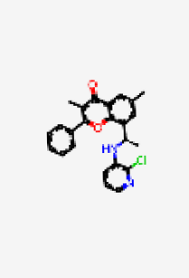 Cc1cc([C@@H](C)Nc2cccnc2Cl)c2oc(-c3ccccc3)c(C)c(=O)c2c1